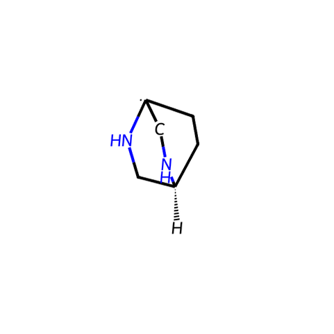 C1C[C@H]2CN[C]1CN2